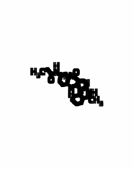 CCC(=O)N[C@H]1CC[C@@H](Nc2nc(N[C@@H](C)C3CCCCC3)ncc2C(N)=O)CC1